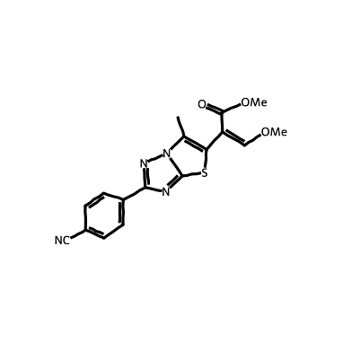 CO/C=C(\C(=O)OC)c1sc2nc(-c3ccc(C#N)cc3)nn2c1C